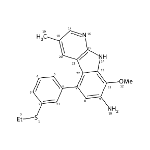 CCSc1cccc(-c2cc(N)c(OC)c3[nH]c4ncc(C)cc4c23)c1